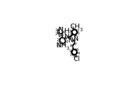 Cc1ccc2nc(C=Cc3ccc(Cl)cc3)nc(NC3CCCCC3N3C=NCC3)c2c1.N